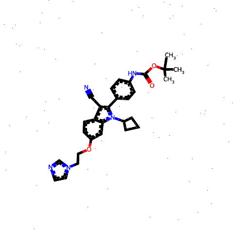 CC(C)(C)OC(=O)Nc1ccc(-c2c(C#N)c3ccc(OCCn4ccnc4)cc3n2C2CCC2)cc1